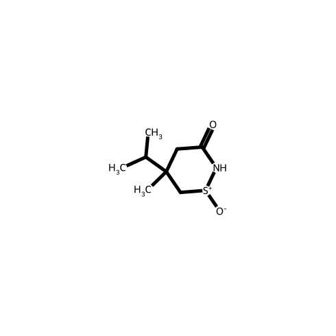 CC(C)C1(C)CC(=O)N[S+]([O-])C1